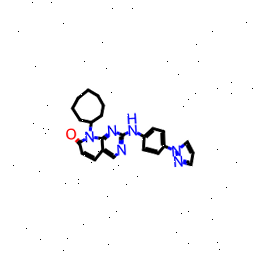 O=c1ccc2cnc(Nc3ccc(-n4cccn4)cc3)nc2n1C1CCCCCCC1